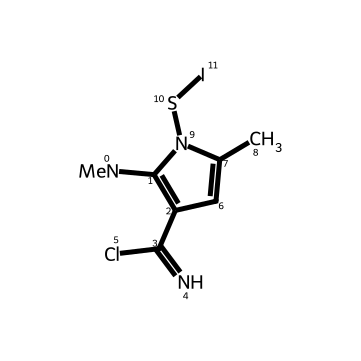 CNc1c(C(=N)Cl)cc(C)n1SI